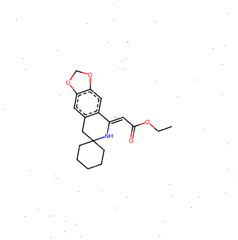 CCOC(=O)/C=C1\NC2(CCCCC2)Cc2cc3c(cc21)OCO3